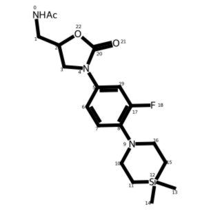 CC(=O)NCC1CN(c2ccc(N3CC[Si](C)(C)CC3)c(F)c2)C(=O)O1